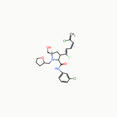 C=C(Cl)/C=C\C=C(/F)C1C[C@H](CO)N(CC2CCCO2)C1C(=O)Nc1cccc(Cl)c1